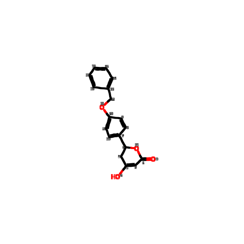 O=C1C=C(O)CC(c2ccc(OCc3ccccc3)cc2)O1